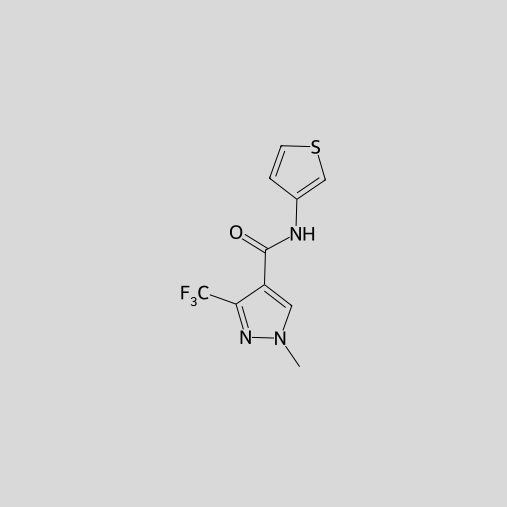 Cn1cc(C(=O)Nc2ccsc2)c(C(F)(F)F)n1